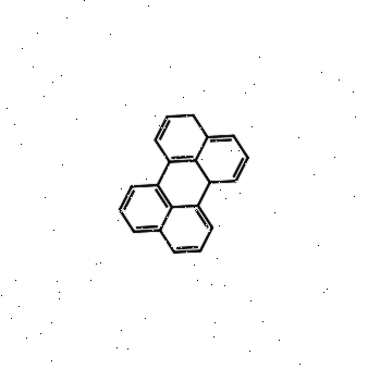 C1=CC2C3=C(C=CCC3=C1)c1cccc3cccc2c13